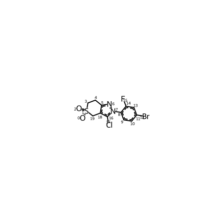 O=S1(=O)CCc2nn(-c3ccc(Br)cc3F)c(Cl)c2C1